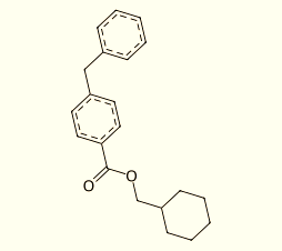 O=C(OCC1CCCCC1)c1ccc(Cc2ccccc2)cc1